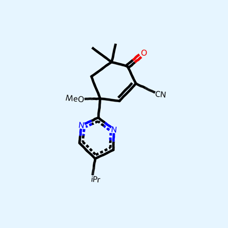 COC1(c2ncc(C(C)C)cn2)C=C(C#N)C(=O)C(C)(C)C1